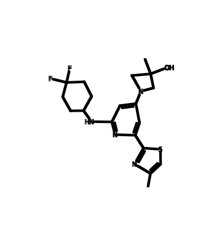 Cc1csc(-c2cc(N3CC(C)(O)C3)cc(NC3CCC(F)(F)CC3)n2)n1